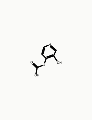 O=C(O)Oc1ccncc1O